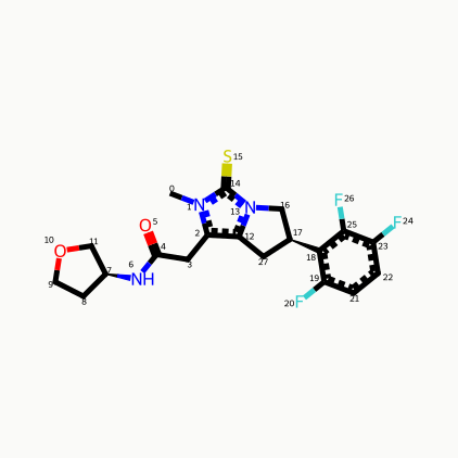 Cn1c(CC(=O)N[C@H]2CCOC2)c2n(c1=S)C[C@@H](c1c(F)ccc(F)c1F)C2